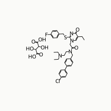 CCc1cn(CC(=O)N(CCN(CC)CC)Cc2ccc(-c3ccc(Cl)cc3)cc2)c(SCc2ccc(F)cc2)nc1=O.O=C(O)C(O)C(O)C(=O)O